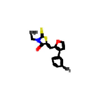 O=C(O)CN1C(=O)C(=Cc2occc2-c2cccc(C(F)(F)F)c2)SC1=S